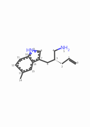 C=CC[C@@H](CN)Cc1c[nH]c2ccc(C)cc12